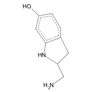 NCC1Cc2ccc(O)cc2N1